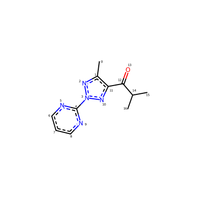 Cc1nn(-c2ncccn2)nc1C(=O)C(C)C